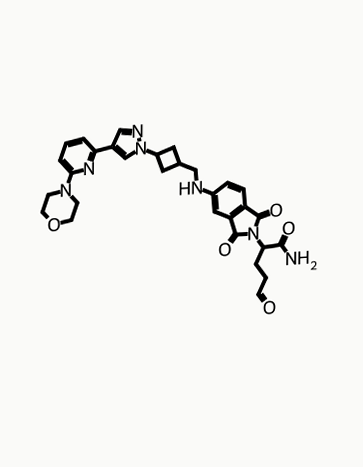 NC(=O)C(CCC=O)N1C(=O)c2ccc(NCC3CC(n4cc(-c5cccc(N6CCOCC6)n5)cn4)C3)cc2C1=O